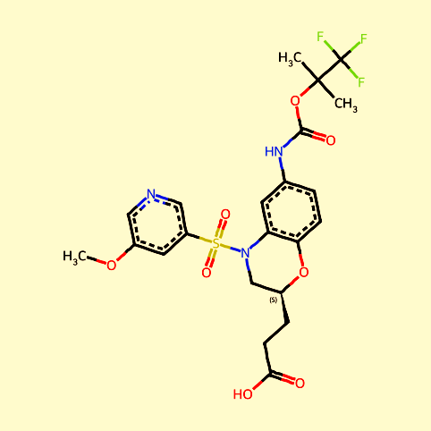 COc1cncc(S(=O)(=O)N2C[C@H](CCC(=O)O)Oc3ccc(NC(=O)OC(C)(C)C(F)(F)F)cc32)c1